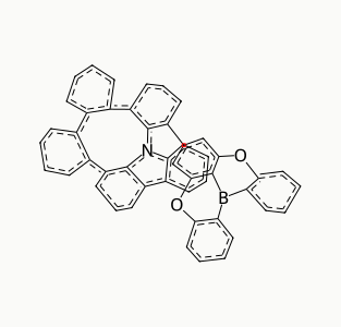 c1ccc2c(c1)Oc1cc(-c3cccc4c5ccccc5c5ccccc5c5cccc6c7ccccc7n(c34)c56)cc3c1B2c1ccccc1O3